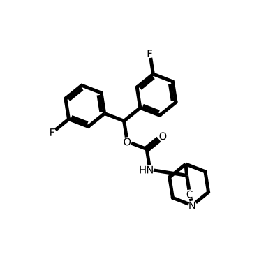 O=C(NC1CN2CCC1CC2)OC(c1cccc(F)c1)c1cccc(F)c1